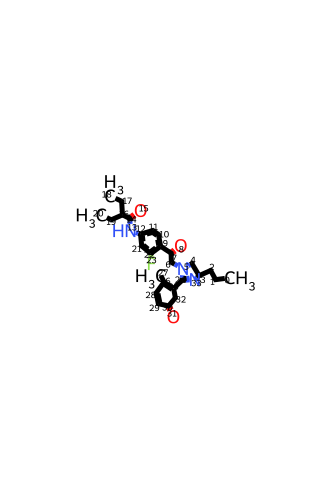 CCCC1CN(CC(=O)c2ccc(NC(=O)C(CC)CC)cc2F)C(C2=C(C)C=CC(=O)C2)=N1